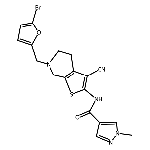 Cn1cc(C(=O)Nc2sc3c(c2C#N)CCN(Cc2ccc(Br)o2)C3)cn1